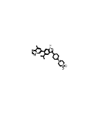 Cc1cc(-c2cc3[nH]nc(C4CCC(N5CCS(=O)(=O)CC5)CC4)c3cc2C(C)C)cn2ncnc12